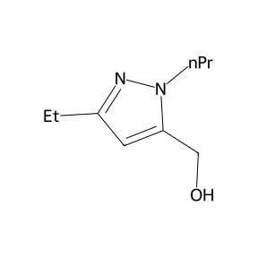 CCCn1nc(CC)cc1CO